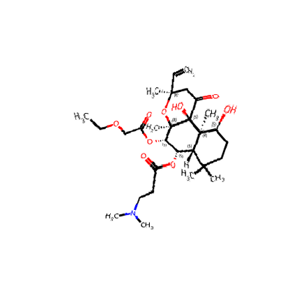 C=C[C@@]1(C)CC(=O)[C@]2(O)[C@@]3(C)[C@@H](O)CCC(C)(C)[C@@H]3[C@H](OC(=O)CCN(C)C)[C@H](OC(=O)COCC)[C@@]2(C)O1